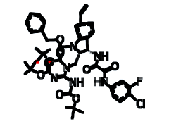 C=Cc1ccc2c(c1)N(C(=O)OCc1ccccc1)[C@H](CN(C(=O)OC(C)(C)C)/C(=N\C(=O)OC(C)(C)C)NC(=O)OC(C)(C)C)[C@H]2NC(=O)C(=O)Nc1ccc(Cl)c(F)c1